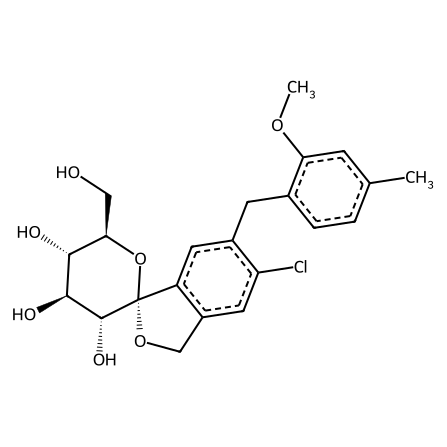 COc1cc(C)ccc1Cc1cc2c(cc1Cl)CO[C@]21O[C@H](CO)[C@@H](O)[C@H](O)[C@H]1O